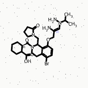 CC(C)N(N)/C=C(\N)COc1ccc(Br)c2c1C(CN1CCCC1=O)N(C(=O)[C@@H]1CCCCC1C(=O)O)CC2